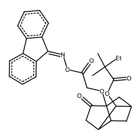 CCC(C)(C)C(=O)OC1C2CC3C1CC(=O)C3(OCC(=O)ON=C1c3ccccc3-c3ccccc31)C2